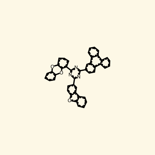 c1ccc2c(c1)Oc1cccc(-c3nc(-c4ccc5oc6ccccc6c5c4)nc(-c4ccc5c6ccccc6c6ccccc6c5c4)n3)c1O2